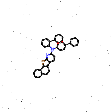 c1ccc(-c2ccc(N(c3ccc4c(n3)sc3c5ccccc5ccc43)c3ccccc3-c3ccccc3)cc2)cc1